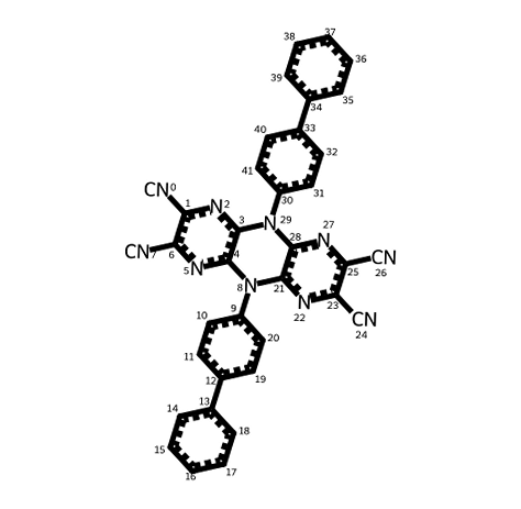 [C-]#[N+]c1nc2c(nc1[N+]#[C-])N(c1ccc(-c3ccccc3)cc1)c1nc(C#N)c(C#N)nc1N2c1ccc(-c2ccccc2)cc1